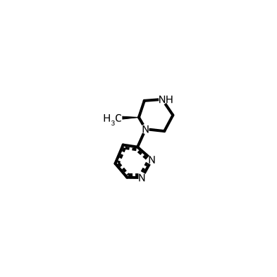 C[C@H]1CNCCN1c1cccnn1